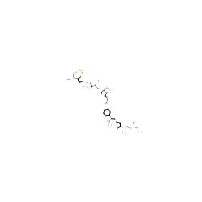 CCN[C@H]1C[C@H](C)S(=O)(=O)c2sc(S(=O)(=O)NC(C)(CC)C(=O)[C@@H](C)OC(CC)(CC)C(=O)CCC(=O)Nc3ccc4c(c3)/C(=C/c3[nH]c(C)c(NCCN(CC)CC)c3C)C(=O)N4)cc21